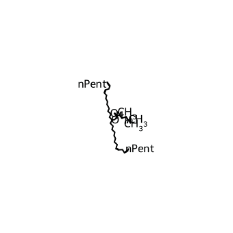 CCCCC/C=C\C/C=C\CCCCCCCCC(CCCCCCCC/C=C\C/C=C\CCCCC)OC(=O)N(C)CCN(C)C